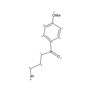 COc1ccc(C(=O)CCCC(C)C)cc1